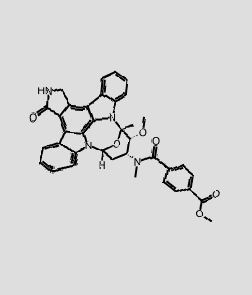 COC(=O)c1ccc(C(=O)N(C)[C@@H]2C[C@H]3O[C@@](C)([C@@H]2OC)n2c4ccccc4c4c5c(c6c7ccccc7n3c6c42)C(=O)NC5)cc1